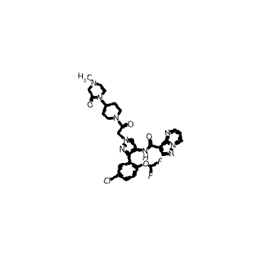 CN1CCN(C2CCN(C(=O)Cn3cc(NC(=O)c4cnn5cccnc45)c(-c4cc(Cl)ccc4OC(F)F)n3)CC2)C(=O)C1